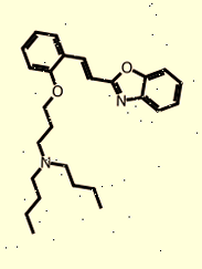 CCCCN(CCCC)CCCOc1ccccc1/C=C/c1nc2ccccc2o1